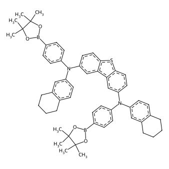 CC1(C)OB(c2ccc(N(c3ccc4c(c3)CCCC4)c3ccc4sc5ccc(N(c6ccc(B7OC(C)(C)C(C)(C)O7)cc6)c6ccc7c(c6)CCCC7)cc5c4c3)cc2)OC1(C)C